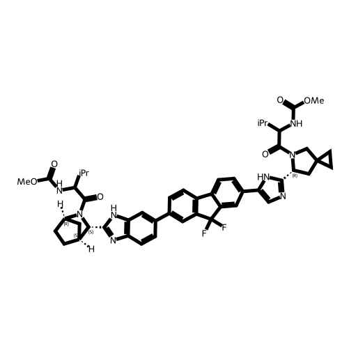 COC(=O)NC(C(=O)N1CC2(CC2)C[C@@H]1c1ncc(-c2ccc3c(c2)C(F)(F)c2cc(-c4ccc5nc([C@@H]6[C@H]7CC[C@H](C7)N6C(=O)C(NC(=O)OC)C(C)C)[nH]c5c4)ccc2-3)[nH]1)C(C)C